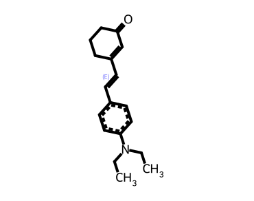 CCN(CC)c1ccc(/C=C/C2=CC(=O)CCC2)cc1